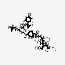 CC(=O)C(=O)/C(=C/O)NCC(C)(C)CNC(=O)c1ccc(Nc2nc(NC3(c4ccc(Cl)cc4)CC3)nc(OCC(F)(F)F)n2)cc1